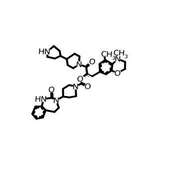 Cc1cc(C[C@@H](OC(=O)N2CCC(N3CCc4ccccc4NC3=O)CC2)C(=O)N2CCC(C3CCNCC3)CC2)cc2c1N(C)CCO2